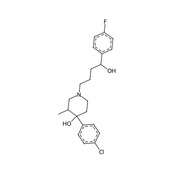 CC1CN(CCCC(O)c2ccc(F)cc2)CCC1(O)c1ccc(Cl)cc1